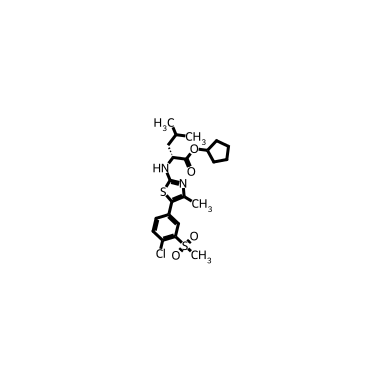 Cc1nc(N[C@H](CC(C)C)C(=O)OC2CCCC2)sc1-c1ccc(Cl)c(S(C)(=O)=O)c1